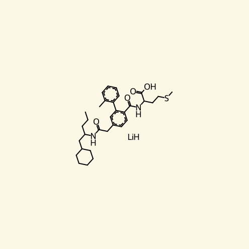 CCCC(CC1CCCCC1)NC(=O)Cc1ccc(C(=O)NC(CCSC)C(=O)O)c(-c2ccccc2C)c1.[LiH]